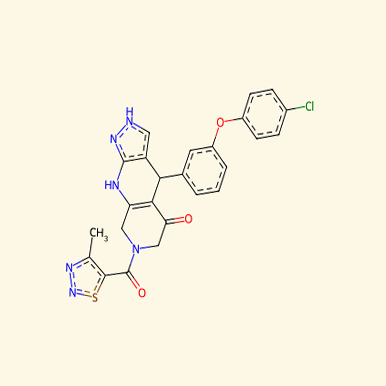 Cc1nnsc1C(=O)N1CC(=O)C2=C(C1)Nc1n[nH]cc1C2c1cccc(Oc2ccc(Cl)cc2)c1